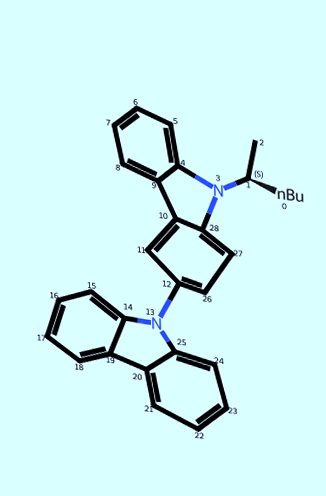 CCCC[C@H](C)n1c2ccccc2c2cc(-n3c4ccccc4c4ccccc43)ccc21